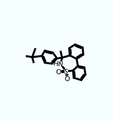 CC(C)(C)c1ccc(C2(C)NS(=O)(=O)c3ccccc3-c3ccccc32)cc1